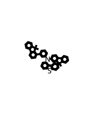 CC1(C)c2ccccc2-c2ccc(N(c3cccc(-c4cccc5c4C(C)(C)c4ccccc4-5)c3)c3cccc4sc5ccccc5c34)cc21